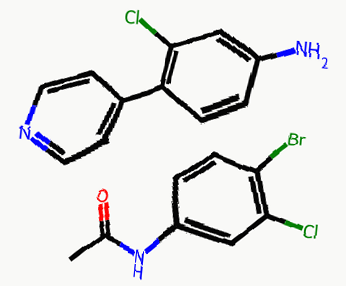 CC(=O)Nc1ccc(Br)c(Cl)c1.Nc1ccc(-c2ccncc2)c(Cl)c1